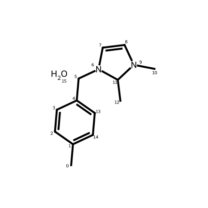 Cc1ccc(CN2C=CN(C)C2C)cc1.O